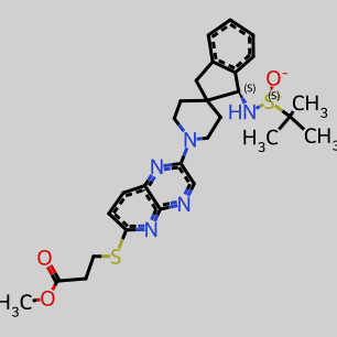 COC(=O)CCSc1ccc2nc(N3CCC4(CC3)Cc3ccccc3[C@H]4N[S@+]([O-])C(C)(C)C)cnc2n1